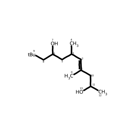 C/C(=C\C(C)CC(O)CC(C)(C)C)CC(C)O